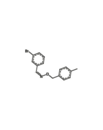 Cc1ccc(CO/N=[C]\c2cccc(Br)c2)cc1